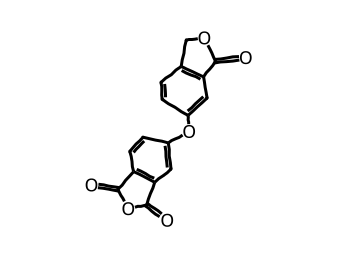 O=C1OCc2ccc(Oc3ccc4c(c3)C(=O)OC4=O)cc21